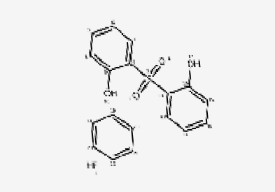 F.O=S(=O)(c1ccccc1O)c1ccccc1O.c1ccccc1